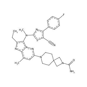 CCc1nc2c(C)cc(N3CCC4(CC3)CN(C(N)=O)C4)nn2c1N(C)c1nc(-c2ccc(F)cc2)c(C#N)s1